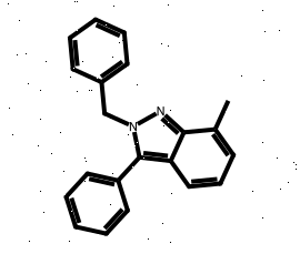 Cc1cccc2c(-c3ccccc3)n(Cc3ccccc3)nc12